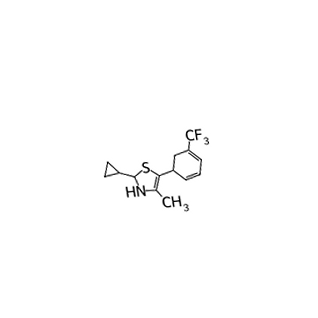 CC1=C(C2C=CC=C(C(F)(F)F)C2)SC(C2CC2)N1